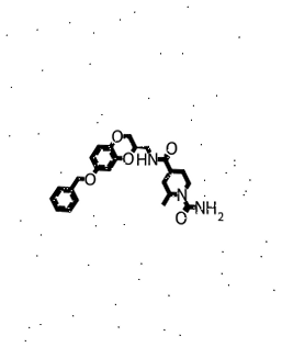 CC1CC(C(=O)NC[C@@H]2COc3ccc(OCc4ccccc4)cc3O2)CCN1C(N)=O